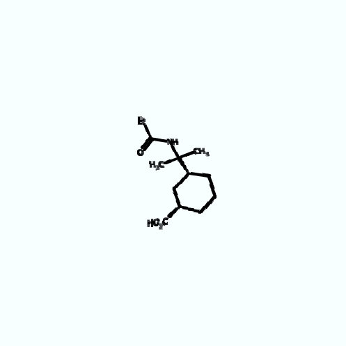 CCC(=O)NC(C)(C)[C@H]1CCC[C@@H](C(=O)O)C1